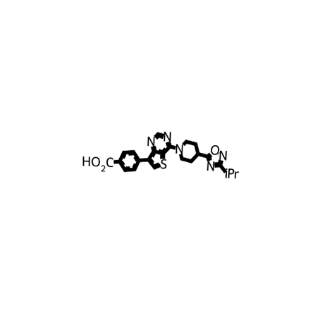 CC(C)c1noc(C2CCN(c3ncnc4c(-c5ccc(C(=O)O)cc5)csc34)CC2)n1